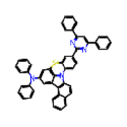 c1ccc(-c2cc(-c3ccccc3)nc(-c3ccc4c(c3)Sc3cc(N(c5ccccc5)c5ccccc5)cc5c6c7ccccc7ccc6n-4c35)n2)cc1